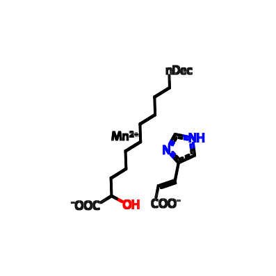 CCCCCCCCCCCCCCCCCCC(O)C(=O)[O-].O=C([O-])C=Cc1c[nH]cn1.[Mn+2]